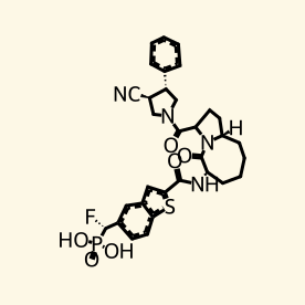 N#C[C@@H]1CN(C(=O)C2CC[C@@H]3CCCC[C@H](NC(=O)c4cc5cc([C@@H](F)P(=O)(O)O)ccc5s4)C(=O)N23)C[C@H]1c1ccccc1